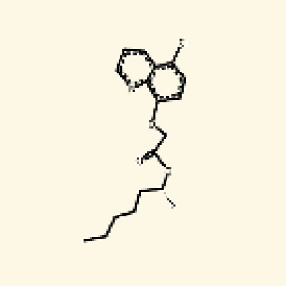 CCCCC[C@@H](C)OC(=O)COc1ccc(Cl)c2cccnc12